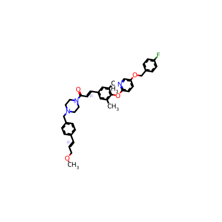 COC/C=C/c1ccc(CN2CCN(C(=O)/C=C/c3cc(C)c(Oc4ccc(OCc5ccc(F)cc5)cn4)c(C)c3)CC2)cc1